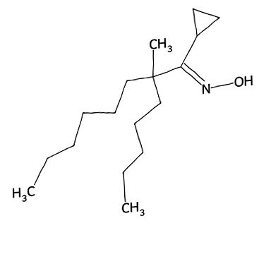 CCCCCCC(C)(CCCCC)/C(=N/O)C1CC1